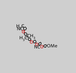 COc1ccc(Oc2cccc(Oc3cccc(Oc4ccc(C(C)(C)c5ccc(Oc6cccc(C)c6C#N)cc5)cc4)c3)c2C#N)cc1